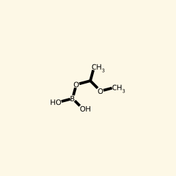 COC(C)OB(O)O